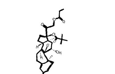 CCC(=O)OCC(=O)[C@@]1(OC(=O)C(C)(C)C)CC[C@H]2[C@@H]3CCC4=CC(=O)C=C[C@]4(C)[C@@]3(Cl)[C@@H](O)C[C@@]21C